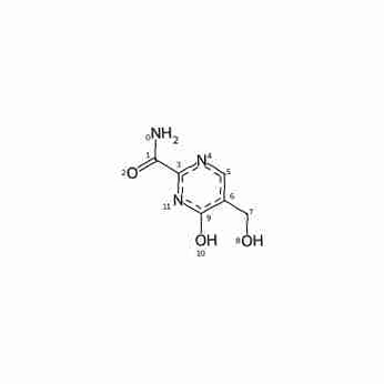 NC(=O)c1ncc(CO)c(O)n1